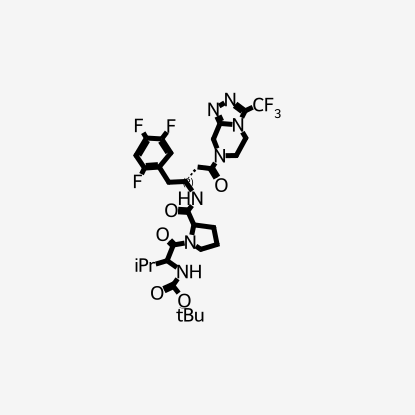 CC(C)C(NC(=O)OC(C)(C)C)C(=O)N1CCCC1C(=O)N[C@@H](CC(=O)N1CCn2c(nnc2C(F)(F)F)C1)Cc1cc(F)c(F)cc1F